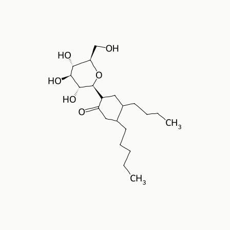 CCCCCC1CC(=O)C([C@@H]2O[C@H](CO)[C@@H](O)[C@H](O)[C@H]2O)CC1CCCC